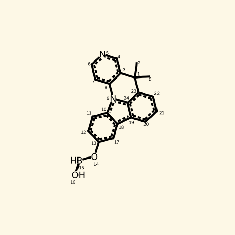 CC1(C)c2cnccc2-n2c3ccc(OBO)cc3c3cccc1c32